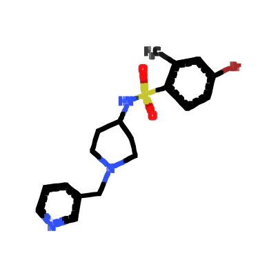 O=S(=O)(NC1CCN(Cc2cccnc2)CC1)c1ccc(Br)cc1C(F)(F)F